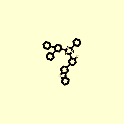 Clc1ccc(-c2ccc3oc4ccccc4c3c2)cc1-c1nc(-c2ccccc2)nc(-c2ccc(-c3ccccc3)c(-c3ccccc3)c2)n1